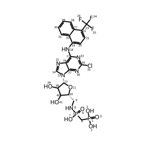 O=P(O)(O)CP(=O)(O)NC[C@H]1O[C@@H](n2cnc3c(Nc4ccc(C(F)(F)F)c5ccccc45)nc(Cl)nc32)C(O)C1O